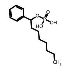 CCCCCCCC(OP(=O)(O)O)c1ccccc1